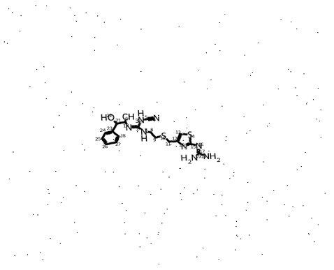 CC(/N=C(\NC#N)NCCSCc1csc(N=C(N)N)n1)C(O)c1ccccc1